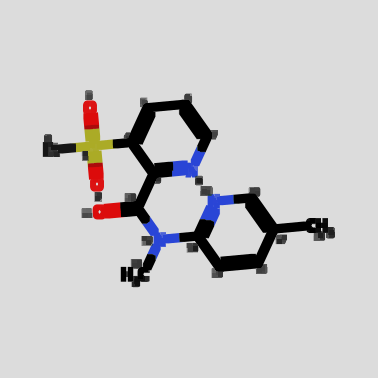 CCS(=O)(=O)c1cccnc1C(=O)N(C)c1ccc(C)cn1